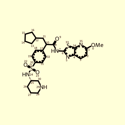 COc1ccc2nc(NC(=O)C(CC3CCCC3)c3ccc(S(=O)(=O)N[C@H]4CCCNC4)cc3)sc2n1